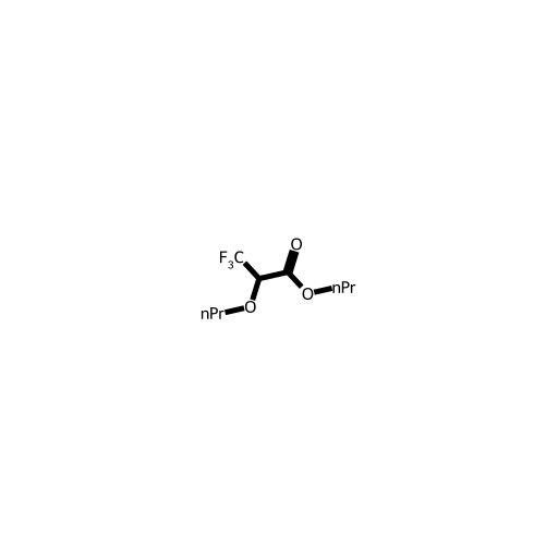 CCCOC(=O)C(OCCC)C(F)(F)F